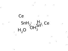 O.O.[Ce].[Ce].[SnH2].[SnH2]